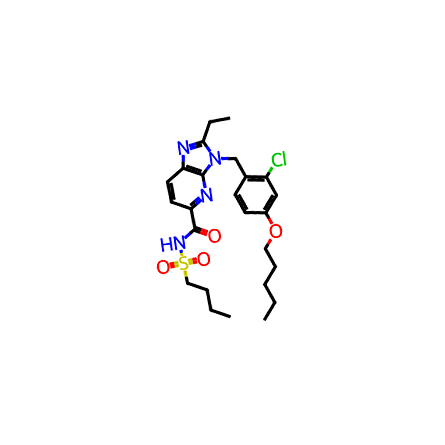 CCCCCOc1ccc(Cn2c(CC)nc3ccc(C(=O)NS(=O)(=O)CCCC)nc32)c(Cl)c1